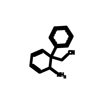 N#CCC1(c2ccccc2)C=CC=CC1N